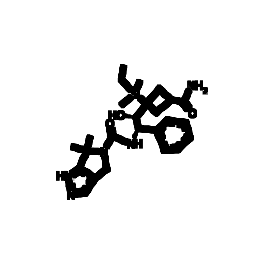 CC[Si](C)(C)C1([C@@H](O)[C@@H](NC(=O)N2Cc3cn[nH]c3C2(C)C)c2ccccc2)CC(C(N)=O)C1